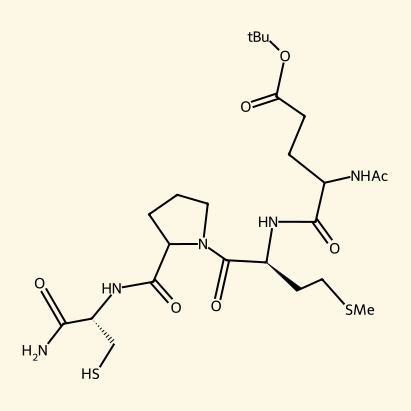 CSCC[C@H](NC(=O)C(CCC(=O)OC(C)(C)C)NC(C)=O)C(=O)N1CCCC1C(=O)N[C@H](CS)C(N)=O